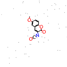 COc1ccc2oc(=O)c(N=C=O)cc2c1